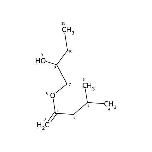 C=C(CC(C)C)OCC(O)CC